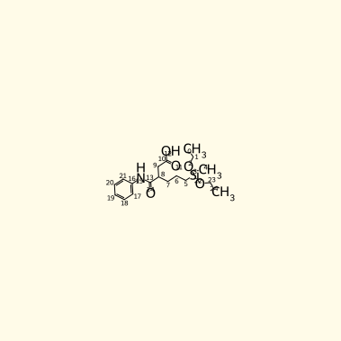 CCO[Si](C)(CCCC(CC(=O)O)C(=O)Nc1ccccc1)OCC